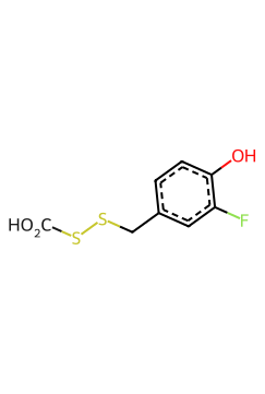 O=C(O)SSCc1ccc(O)c(F)c1